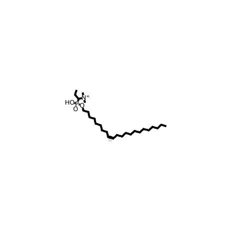 CCCCCCCCCCCC/C=C\CCCCCCCCOP(=O)(O)C(CC)[N+](C)(C)C